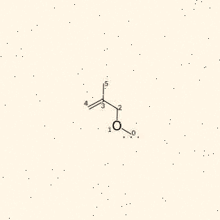 [C]OCC(=C)C